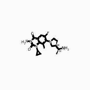 [CH2][C@H](N)[C@@H]1CCN(c2c(F)cc3c(=O)n(N)c(=O)n(C4CC4)c3c2C)C1